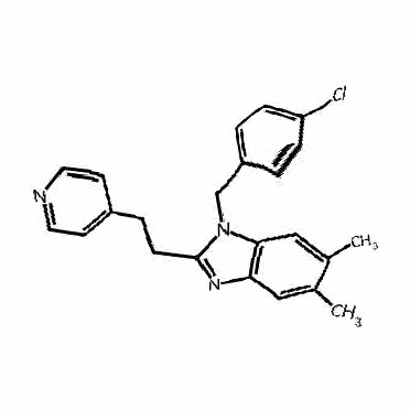 Cc1cc2nc(CCc3ccncc3)n(Cc3ccc(Cl)cc3)c2cc1C